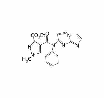 CCOC(=O)c1nn(C)cc1C(=O)N(c1ccccc1)c1ccn2ccnc2n1